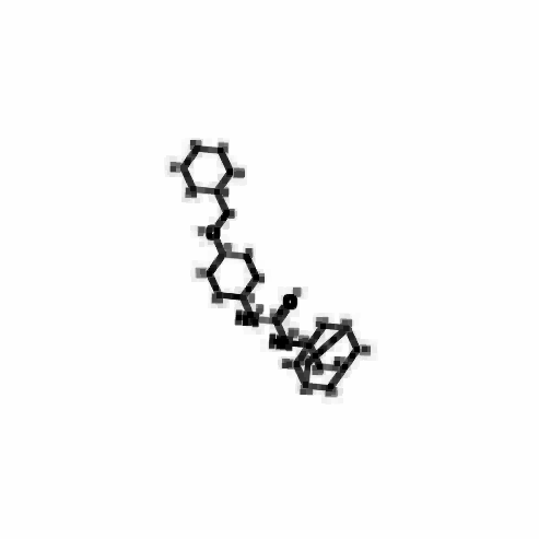 O=C(NC1CCC(OCC2CCCCC2)CC1)NC12CC3CC(CC(C3)C1)C2